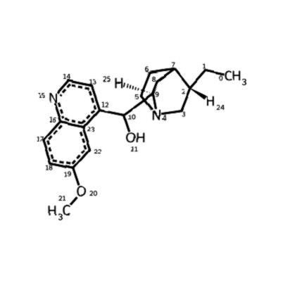 CC[C@@H]1CN2CCC1C[C@@H]2C(O)c1ccnc2ccc(OC)cc12